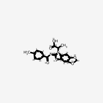 Cc1ccc(C(=O)/N=c2\sc3cc4c(cc3n2C(C)C(=O)O)OCO4)cc1